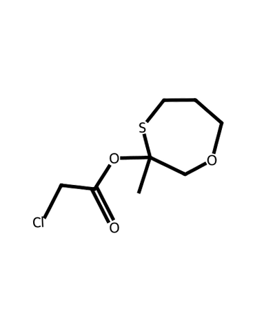 CC1(OC(=O)CCl)COCCCS1